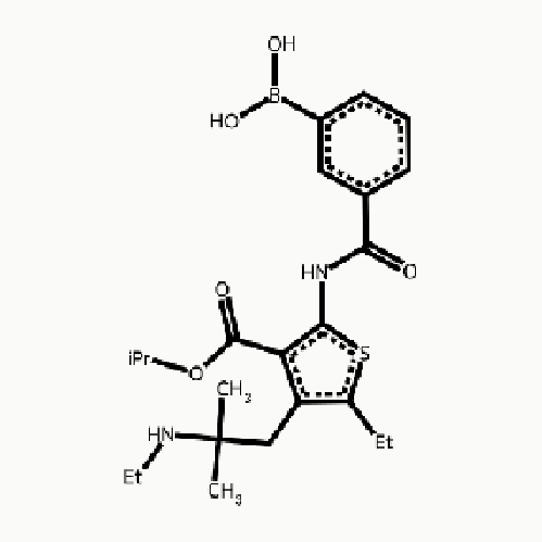 CCNC(C)(C)Cc1c(CC)sc(NC(=O)c2cccc(B(O)O)c2)c1C(=O)OC(C)C